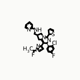 CC(F)n1ccc(C2=C3CC(CNc4ccccn4)CN3C(C3CC=CS3)=N[C@H]2c2ccc(F)cc2Cl)n1